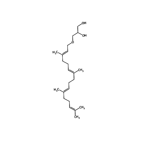 CC(C)=CCCC(C)=CCCC(C)=CCCC(C)=CCOCC(O)CO